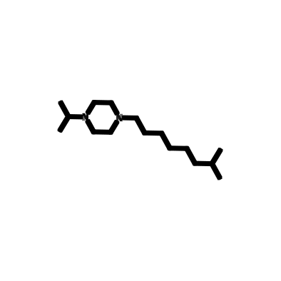 CC(C)CCCCCCN1CCN(C(C)C)CC1